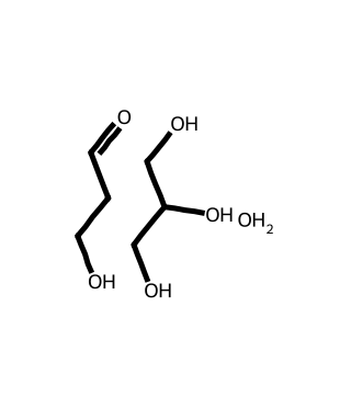 O.O=CCCO.OCC(O)CO